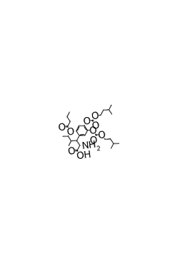 CCCC(=O)OC(C)C(C)C(c1ccc(OC(=O)OCCC(C)C)c(OC(=O)OCCC(C)C)c1)[C@H](N)C(=O)O